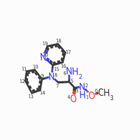 CONC(=O)C(N)CN(c1ccccc1)c1ccccn1